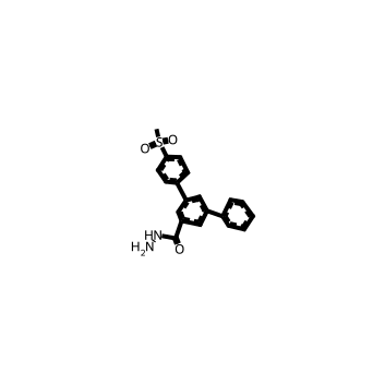 CS(=O)(=O)c1ccc(-c2cc(C(=O)NN)cc(-c3ccccc3)c2)cc1